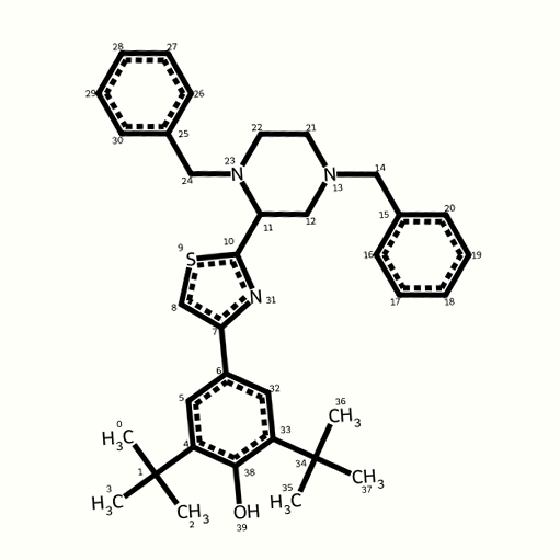 CC(C)(C)c1cc(-c2csc(C3CN(Cc4ccccc4)CCN3Cc3ccccc3)n2)cc(C(C)(C)C)c1O